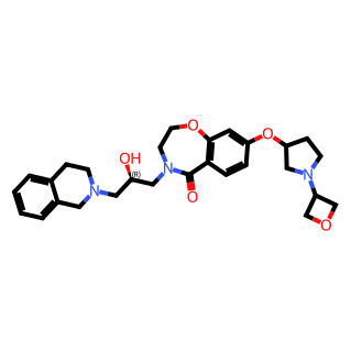 O=C1c2ccc(OC3CCN(C4COC4)C3)cc2OCCN1C[C@H](O)CN1CCc2ccccc2C1